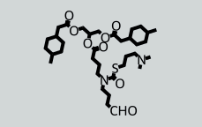 CC1CCC(CC(=O)OCC(COC(=O)CC2CCC(C)CC2)OC(=O)CCCN(CCCC=O)C(=O)SCCCN(C)C)CC1